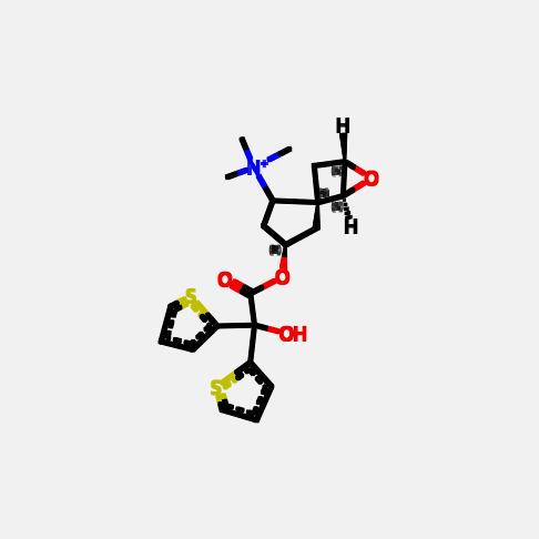 C[N+](C)(C)C1C[C@H](OC(=O)C(O)(c2cccs2)c2cccs2)C[C@]12C[C@@H]1O[C@H]12